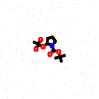 CC(C)(C)OC(=O)N1CCCC1OS(C)(=O)=O